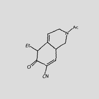 CCC1C(=O)C(C#N)=CC2CN(C(C)=O)CC=C21